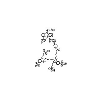 CNC(=O)c1nnc(Nc2cnn(C3CCN(C(=O)CCCCCC4(C)C(/C=C/C=C/C=C5/N(CCCS(=O)(=O)O)c6ccc(S(=O)(=O)[O-])cc6C5(C)C)=[N+](CCCS(=O)(=O)O)c5ccc(S(=O)(=O)O)cc54)CC3)c2)nc1Nc1cccc(-c2ncn(C)n2)c1OC